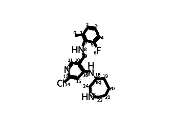 Cc1cccc(F)c1NCc1cnc(Cl)cc1N[C@@H]1CCCCNC1